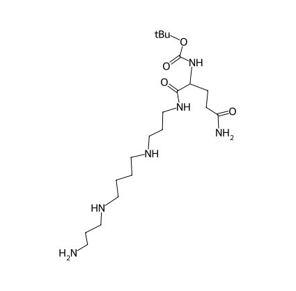 CC(C)(C)OC(=O)NC(CCC(N)=O)C(=O)NCCCNCCCCNCCCN